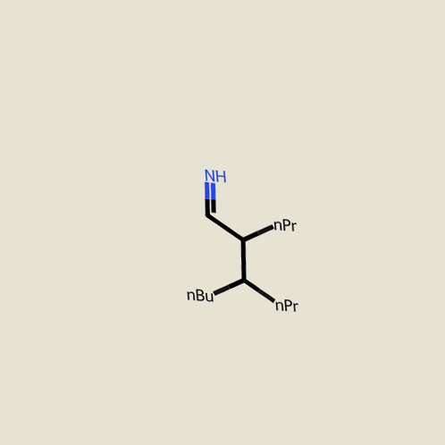 CCCCC(CCC)C(C=N)CCC